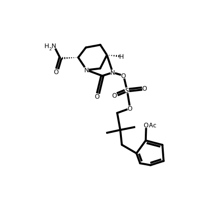 CC(=O)Oc1ccccc1CC(C)(C)COS(=O)(=O)ON1C(=O)N2C[C@H]1CC[C@H]2C(N)=O